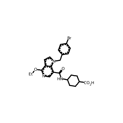 CCOc1ncc(C(=O)NC2CCC(C(=O)O)CC2)c2c1ccn2Cc1ccc(Br)cc1